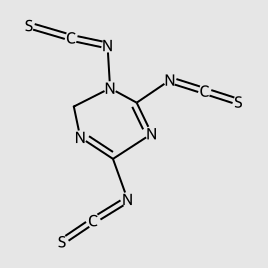 S=C=NC1=NCN(N=C=S)C(N=C=S)=N1